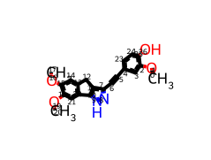 COc1cc(C#Cc2n[nH]c3c2Cc2cc(OC)c(OC)cc2-3)ccc1O